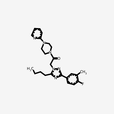 CCCCc1nc(-c2ccc(F)c(C)c2)nn1CC(=O)N1CCN(c2ccccn2)CC1